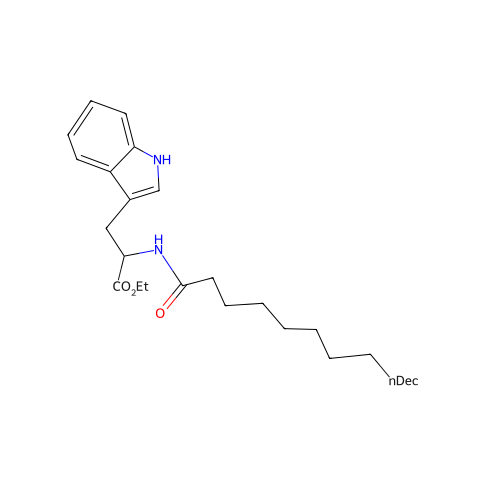 CCCCCCCCCCCCCCCCCC(=O)NC(Cc1c[nH]c2ccccc12)C(=O)OCC